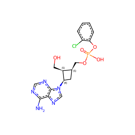 Nc1ncnc2c1ncn2[C@@H]1C[C@H](COP(=O)(O)Oc2ccccc2Cl)[C@@H]1CO